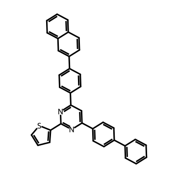 c1ccc(-c2ccc(-c3cc(-c4ccc(-c5ccc6ccccc6c5)cc4)nc(-c4cccs4)n3)cc2)cc1